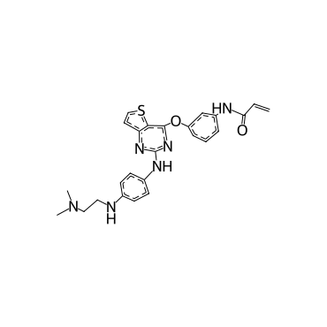 C=CC(=O)Nc1cccc(Oc2nc(Nc3ccc(NCCN(C)C)cc3)nc3ccsc23)c1